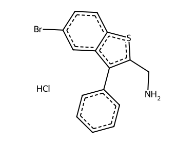 Cl.NCc1sc2ccc(Br)cc2c1-c1ccccc1